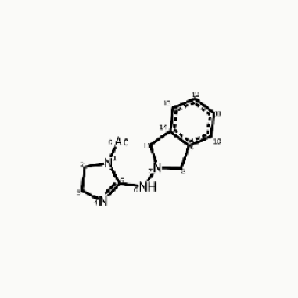 CC(=O)N1CCN=C1NN1Cc2ccccc2C1